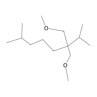 COCC(CCCC(C)C)(COC)C(C)C